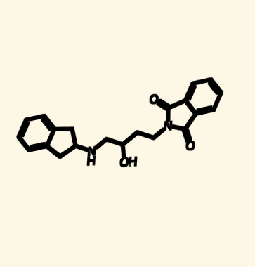 O=C1c2ccccc2C(=O)N1CCC(O)CNC1Cc2ccccc2C1